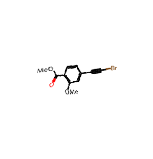 COC(=O)c1ccc(C#CBr)cc1OC